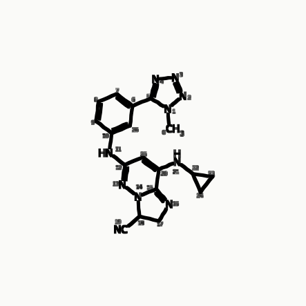 Cn1nnnc1-c1cccc(NC2=NN3C(=NCC3C#N)C(NC3CC3)=C2)c1